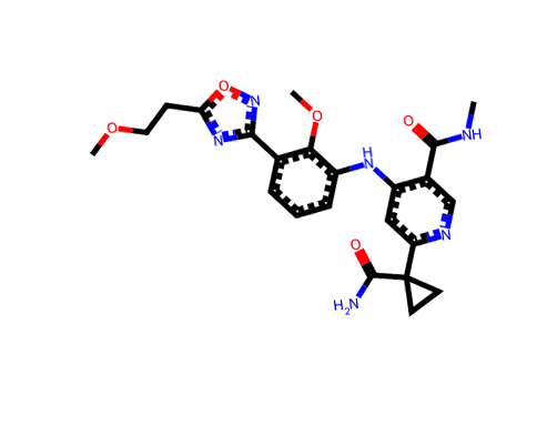 CNC(=O)c1cnc(C2(C(N)=O)CC2)cc1Nc1cccc(-c2noc(CCOC)n2)c1OC